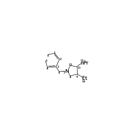 C/C=C\C(=C/C)CN1CC(CC)C(CCC)C1